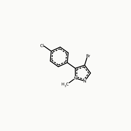 Cn1ncc(Br)c1-c1ccc(Cl)cc1